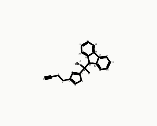 C#CCCC1=CCC(C(C)(CCCC)C2c3ccccc3-c3ccccc32)=C1